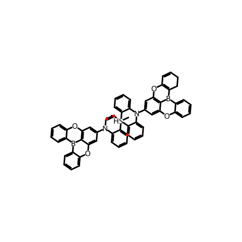 C[SH]12(c3ccccc3N(c3cc4c5c(c3)Oc3ccccc3B5C3=C(C=CCC3)O4)c3ccccc31)c1ccccc1N(c1cc3c4c(c1)Oc1ccccc1B4c1ccccc1O3)c1ccccc12